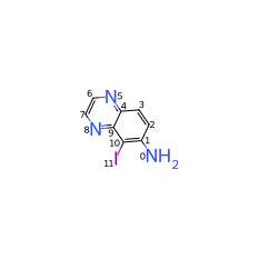 Nc1ccc2nccnc2c1I